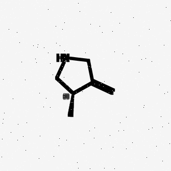 C=C1CNC[C@@H]1C